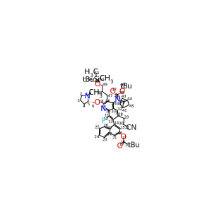 CN1CCC[C@H]1COc1nc2c(F)c(-c3cc(OC(=O)C(C)(C)C)cc4ccccc34)c(CCC#N)cc2c(N(C(=O)OC(C)(C)C)C2C3CCC2C3)c1CCCO[Si](C)(C)C(C)(C)C